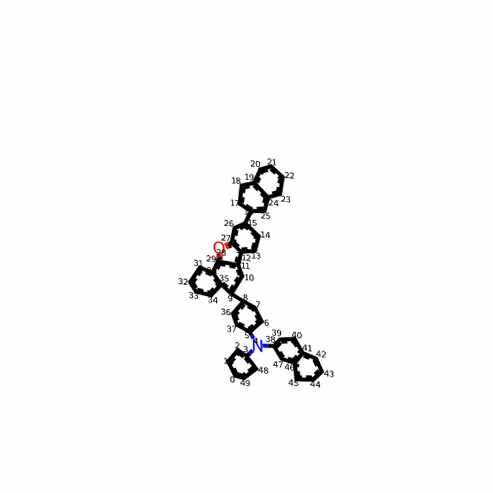 c1ccc(N(c2ccc(-c3cc4c5ccc(-c6ccc7ccccc7c6)cc5oc4c4ccccc34)cc2)c2ccc3ccccc3c2)cc1